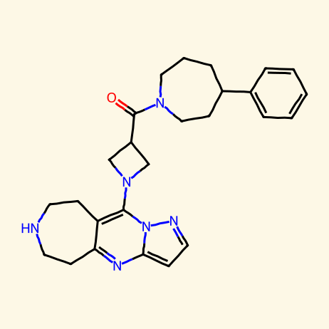 O=C(C1CN(c2c3c(nc4ccnn24)CCNCC3)C1)N1CCCC(c2ccccc2)CC1